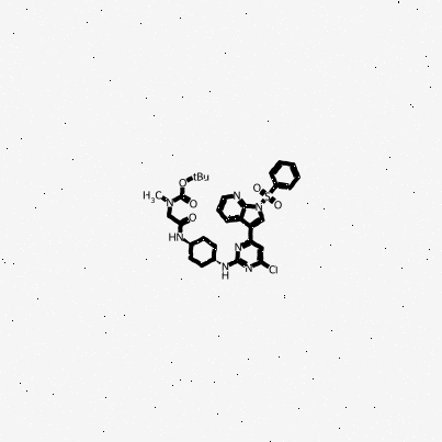 CN(CC(=O)N[C@H]1CC[C@H](Nc2nc(Cl)cc(-c3cn(S(=O)(=O)c4ccccc4)c4ncccc34)n2)CC1)C(=O)OC(C)(C)C